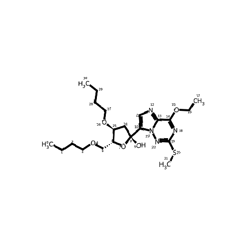 CCCCOC[C@H]1O[C@@](O)(c2cnc3c(OCC)nc(SC)nn23)C[C@@H]1OCCCC